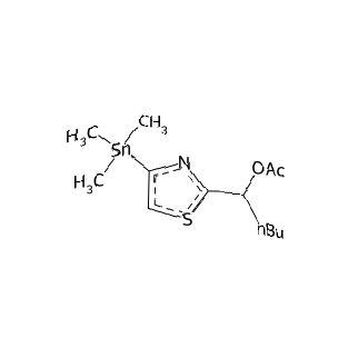 CCCCC(OC(C)=O)c1n[c]([Sn]([CH3])([CH3])[CH3])cs1